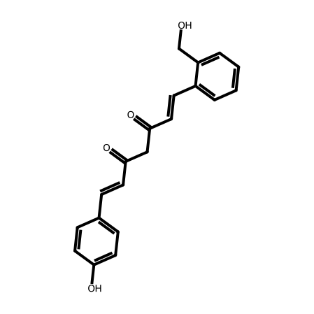 O=C(C=Cc1ccc(O)cc1)CC(=O)C=Cc1ccccc1CO